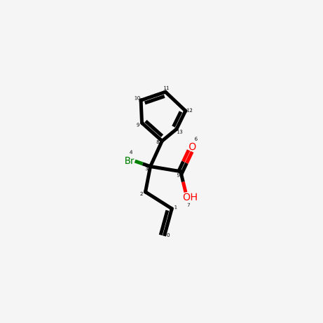 C=CCC(Br)(C(=O)O)c1ccccc1